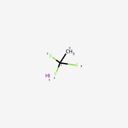 CC(F)(F)F.I